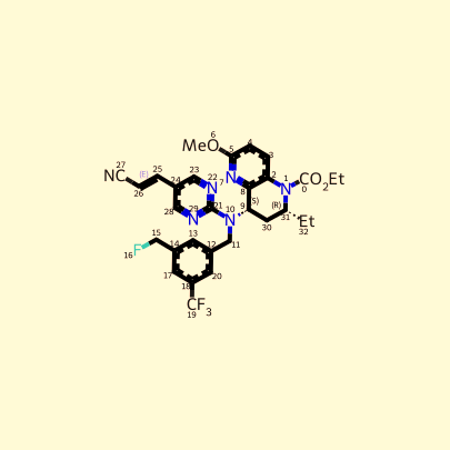 CCOC(=O)N1c2ccc(OC)nc2[C@@H](N(Cc2cc(CF)cc(C(F)(F)F)c2)c2ncc(/C=C/C#N)cn2)C[C@H]1CC